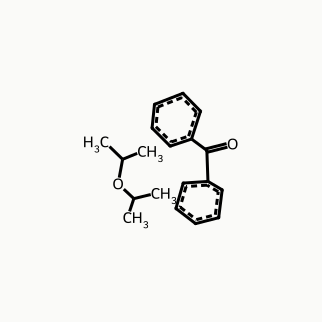 CC(C)OC(C)C.O=C(c1ccccc1)c1ccccc1